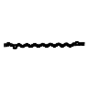 CCCCCCCCCCCCCCCCCCCCCCCCOCCC